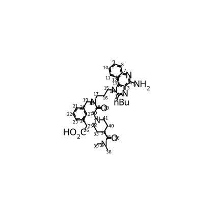 CCCCc1nc2c(N)nc3ccccc3c2n1CCCN(Cc1cccc(CC(=O)O)c1)C(=O)CN1CCC(C(=O)N(C)C)CC1